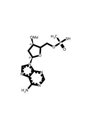 CO[C@@H]1C[C@H](n2cnc3c(N)ncnc32)OC1COP(C)(=O)S